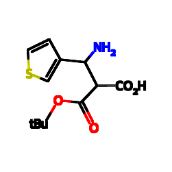 CC(C)(C)OC(=O)C(C(=O)O)C(N)c1ccsc1